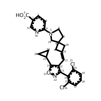 O=C(O)c1ccc(N2CCC3(CC(=Cc4c(-c5c(Cl)cccc5Cl)noc4C4CC4)C3)C2)nc1